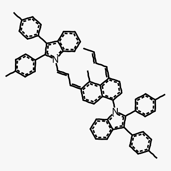 C/C=C/C=c1/ccc(-n2c(-c3ccc(C)cc3)c(-c3ccc(C)cc3)c3ccccc32)c2cc/c(=C/C=C/n3c(-c4ccc(C)cc4)c(-c4ccc(C)cc4)c4ccccc43)c(C)c12